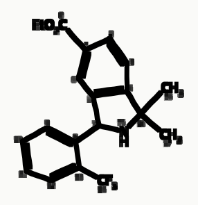 CCOC(=O)c1ccc2c(c1)C(c1ccccc1C(F)(F)F)NC2(C)C